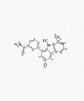 CCn1c2c(-c3cccc(C(N)=O)c3)cc(Cl)cc2c2ccnc(C)c21